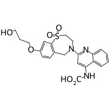 O=C(O)Nc1cc(N2CCS(=O)(=O)c3cc(OCCCO)ccc3C2)nc2ccccc12